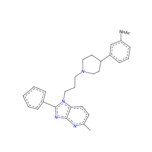 CC(=O)Nc1cccc(C2CCN(CCCn3c(-c4ccccc4)nc4nc(C)ccc43)CC2)c1